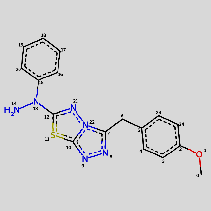 COc1ccc(Cc2nnc3sc(N(N)c4ccccc4)nn23)cc1